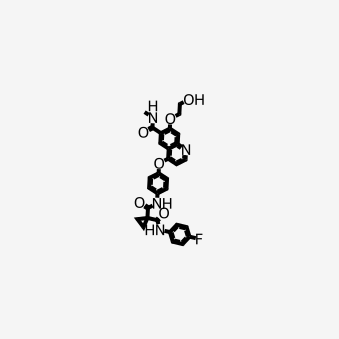 CNC(=O)c1cc2c(Oc3ccc(NC(=O)C4(C(=O)Nc5ccc(F)cc5)CC4)cc3)ccnc2cc1OCCO